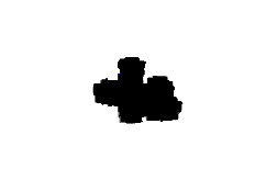 c1ccc(-c2ccc3c(c2)c2ccccc2n3-c2ccc(-c3ccccc3-n3c4ccccc4c4ccccc43)cc2-c2nc(-c3ccccc3)nc(-c3ccccc3)n2)cc1